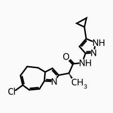 C[C@H](C(=O)Nc1cc(C2CC2)[nH]n1)C1=CC2CC/C=C(Cl)\C=C/C2=N1